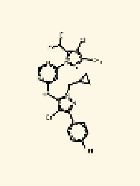 CCc1c(-c2ccc(C#N)cc2)nn(CC2CC2)c1Nc1cc(-n2nc(C)c(Cl)c2C(F)F)ncn1